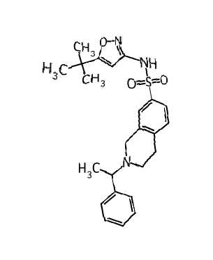 CC(c1ccccc1)N1CCc2ccc(S(=O)(=O)Nc3cc(C(C)(C)C)on3)cc2C1